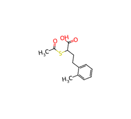 CC(=O)SC(CCc1ccccc1C)C(=O)O